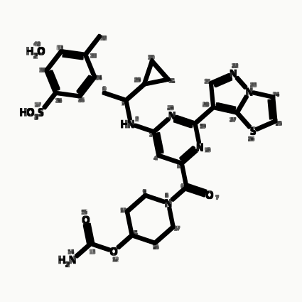 CC(Nc1cc(C(=O)N2CCC(OC(N)=O)CC2)nc(-c2cnn3ccsc23)n1)C1CC1.Cc1ccc(S(=O)(=O)O)cc1.O